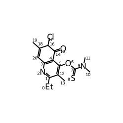 CCc1nc2c(c(OC(=S)N(C)C)c1C)C(=O)C(Cl)C(C)=C2